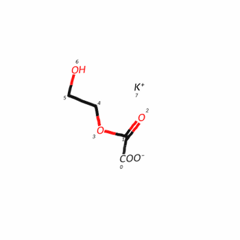 O=C([O-])C(=O)OCCO.[K+]